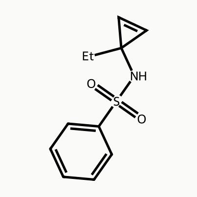 CCC1(NS(=O)(=O)c2ccccc2)C=C1